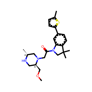 COC[C@H]1CN[C@H](C)CN1CC(=O)N1CC(C)(C)c2ccc(-c3ccc(C)s3)cc21